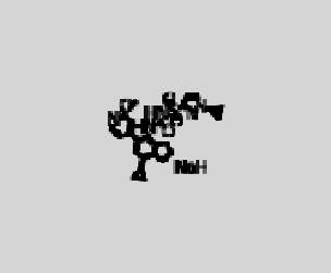 COc1cc(-c2cc(C3CC3)c3c(c2NC(=O)NS(=O)(=O)c2ccn(C4CC4)n2)CCC3)ccn1.[NaH]